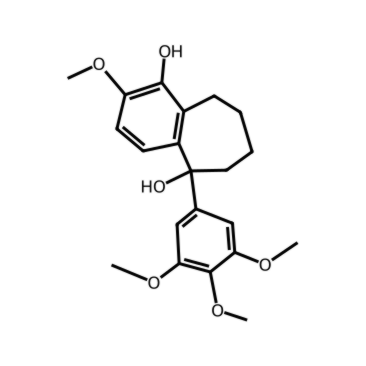 COc1ccc2c(c1O)CCCCC2(O)c1cc(OC)c(OC)c(OC)c1